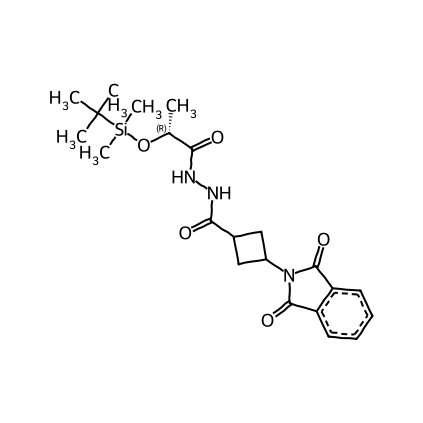 C[C@@H](O[Si](C)(C)C(C)(C)C)C(=O)NNC(=O)C1CC(N2C(=O)c3ccccc3C2=O)C1